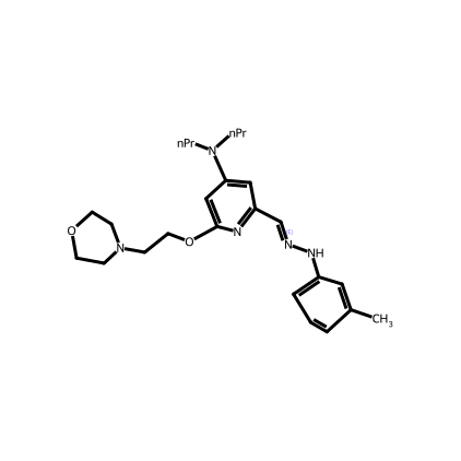 CCCN(CCC)c1cc(/C=N/Nc2cccc(C)c2)nc(OCCN2CCOCC2)c1